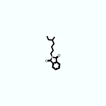 CCC(C)CCCCN1C(=O)c2ccccc2C1=O